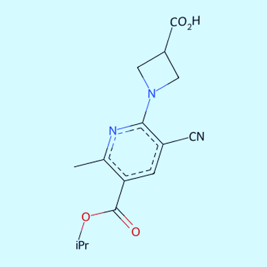 Cc1nc(N2CC(C(=O)O)C2)c(C#N)cc1C(=O)OC(C)C